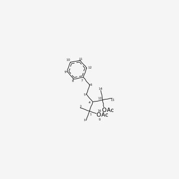 CC(=O)OC(C)(C)C(CCc1ccccc1)C(C)(C)OC(C)=O